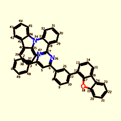 c1ccc(-c2cc(-c3cccc(-c4cccc5c4oc4ccccc45)c3)nc(-c3ccccc3-n3c4ccccc4c4ccccc43)n2)cc1